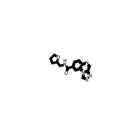 O=C(NCC1CCCO1)c1ccc2ncc3nncn3c2c1